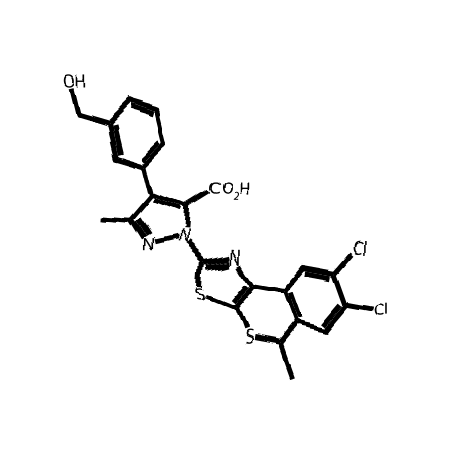 Cc1nn(-c2nc3c(s2)SC(C)c2cc(Cl)c(Cl)cc2-3)c(C(=O)O)c1-c1cccc(CO)c1